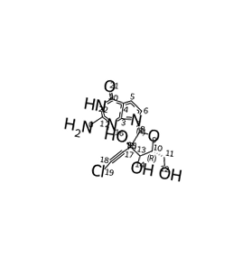 Nc1nc2c(ccn2[C@@H]2O[C@H](CO)C(O)[C@]2(O)C#CCl)c(=O)[nH]1